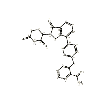 NC(=O)c1ncccc1Cc1ccc(-c2cccc3c2CN(C2CCC(=O)NC2=O)C3=O)cc1